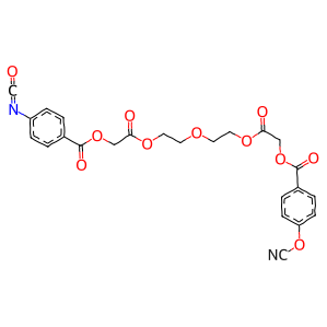 N#COc1ccc(C(=O)OCC(=O)OCCOCCOC(=O)COC(=O)c2ccc(N=C=O)cc2)cc1